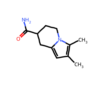 Cc1cc2n(c1C)CCC(C(N)=O)C2